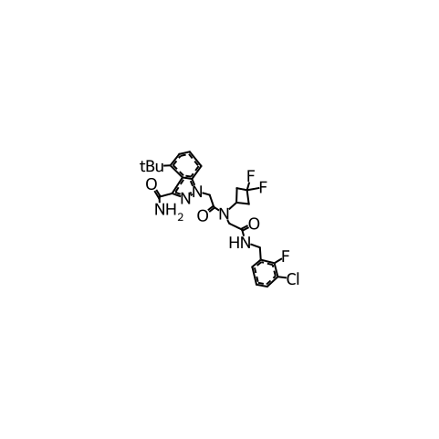 CC(C)(C)c1cccc2c1c(C(N)=O)nn2CC(=O)N(CC(=O)NCc1cccc(Cl)c1F)C1CC(F)(F)C1